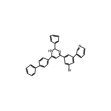 Brc1cc(C2=NC(c3ccccc3)NC(c3ccc(-c4ccccc4)cc3)=C2)cc(-c2cccnc2)c1